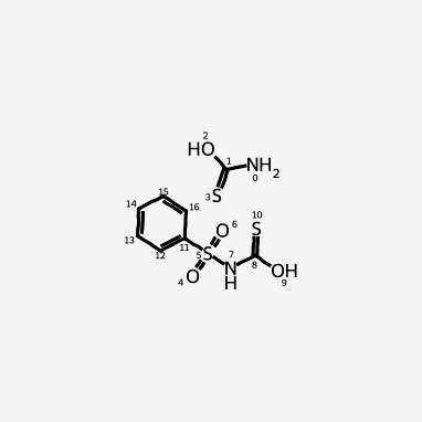 NC(O)=S.O=S(=O)(NC(O)=S)c1ccccc1